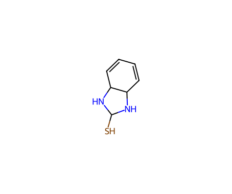 SC1NC2C=CC=CC2N1